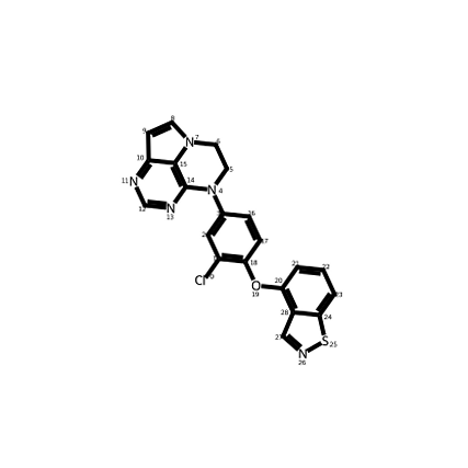 Clc1cc(N2CCn3ccc4ncnc2c43)ccc1Oc1cccc2sncc12